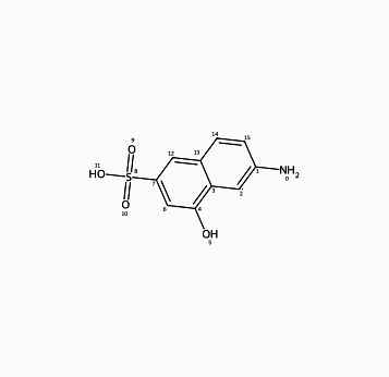 Nc1[c]c2c(O)cc(S(=O)(=O)O)cc2cc1